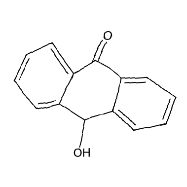 O=C1c2ccccc2C(O)c2ccccc21